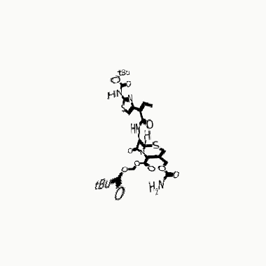 C/C=C(\C(=O)N[C@@H]1C(=O)N2C(C(=O)OCOC(=O)C(C)(C)C)=C(COC(N)=O)CS[C@@H]12)c1csc(NC(=O)OC(C)(C)C)n1